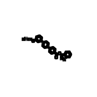 CCCCCCOc1cccc(N2CCN(c3ccc(C(=O)On4nnc5ccccc54)cc3)CC2)c1